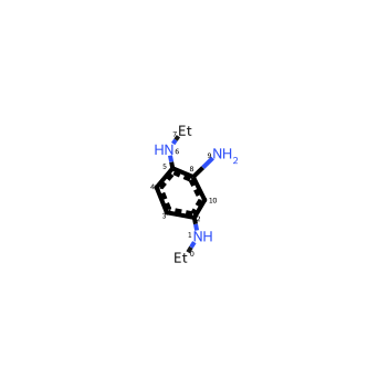 CCNc1ccc(NCC)c(N)c1